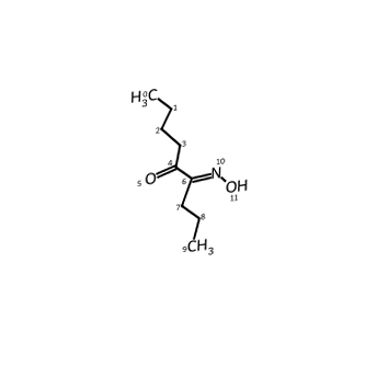 CCCCC(=O)C(CCC)=NO